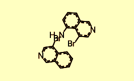 Brc1cncc2ccccc12.Nc1cccc2cncc(Br)c12